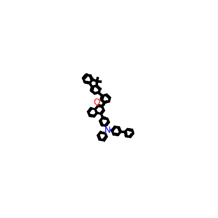 CC1(C)c2ccccc2-c2ccc(-c3cccc4c5c(oc34)C3C=CC=CC3C(c3ccc(N(c4ccccc4)c4ccc(-c6ccccc6)cc4)cc3)=C5)cc21